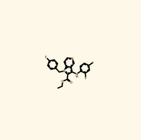 CCOC(=O)c1c(Nc2ccc(I)cc2F)c2cnccc2n1Cc1ccc(F)cc1